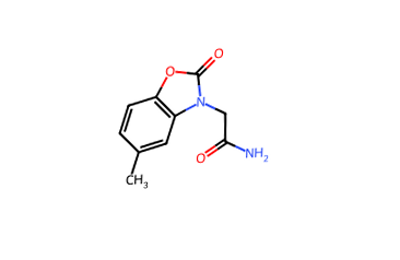 Cc1ccc2oc(=O)n(CC(N)=O)c2c1